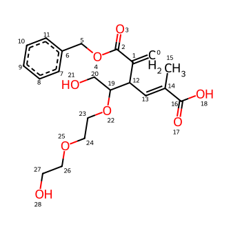 C=C(C(=O)OCc1ccccc1)C(C=C(C)C(=O)O)C(CO)OCCOCCO